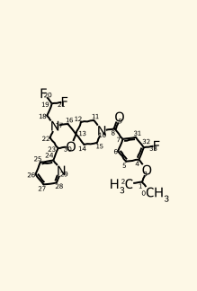 CC(C)Oc1ccc(C(=O)N2CCC3(CC2)CN(CC(F)F)CC(c2ccccn2)O3)cc1F